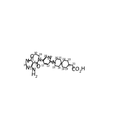 Nc1ncnc2c1C(=O)N(c1ccc(N3CCC4(CCC(CC(=O)O)CC4)CC3)nc1)CCO2